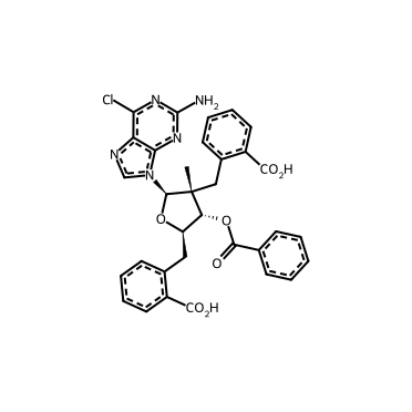 C[C@@]1(Cc2ccccc2C(=O)O)[C@H](OC(=O)c2ccccc2)[C@@H](Cc2ccccc2C(=O)O)O[C@H]1n1cnc2c(Cl)nc(N)nc21